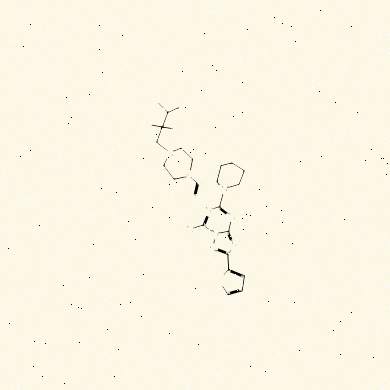 Nc1nc(N2CCCC[C@H]2C(=O)N2CCN(CC(F)(F)C(F)F)CC2)nc2nc(-c3ccco3)nn12